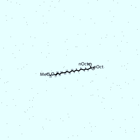 CCCCCCCCOC(CCCCCCCCCCCCCC=COCOC)OCCCCCCCC